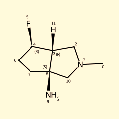 CN1C[C@H]2[C@H](F)CC[C@@]2(N)C1